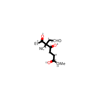 CCC(=O)C(C#N)(CC=O)C(=O)CCC(=O)OC